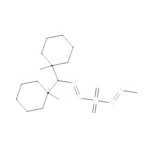 CN=NS(=O)(=O)N=NC(C1(O)CCCCC1)C1(O)CCCCC1